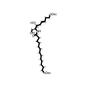 CCCCCCCCCCCCC=CC[C@@H](O)[C@H](CO)NC(=O)CCCCCCCCCCCCCCCCCCCCCC